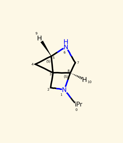 CC(C)N1CC23C[C@@H]2NC[C@@H]13